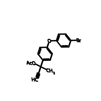 C#CC(C)(OC(C)=O)c1ccc(Oc2ccc(Br)cc2)cc1